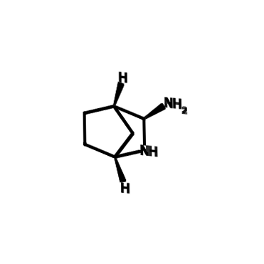 N[C@H]1N[C@@H]2CC[C@H]1C2